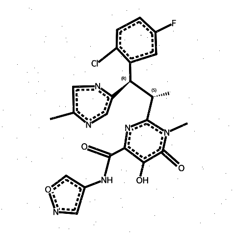 Cc1cnc([C@@H](c2cc(F)ccc2Cl)[C@H](C)c2nc(C(=O)Nc3cnoc3)c(O)c(=O)n2C)cn1